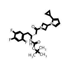 CC(C)(C)OC(=O)N[C@@H](CC(=O)N1CC(n2cccc2C2CC2)C1)Cc1cc(F)c(F)cc1F